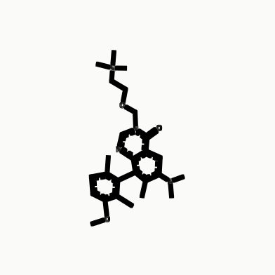 COc1ccc(C)c(-c2c(C)c(N(C)C)cc3c(=O)n(COCC[Si](C)(C)C)cnc23)c1C